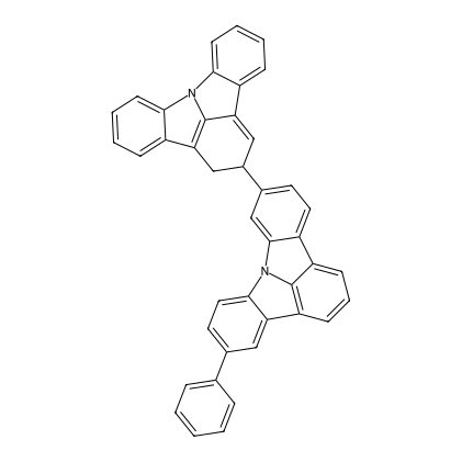 C1=c2c3ccccc3n3c2c(c2ccccc23)CC1c1ccc2c3cccc4c5cc(-c6ccccc6)ccc5n(c2c1)c43